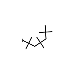 CC(C)(C)CC(C)(C)CC(C)(C)I